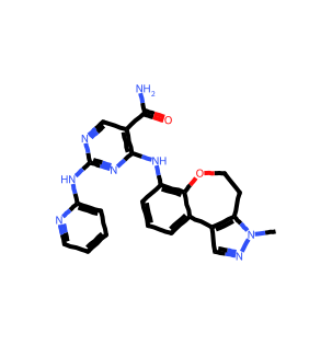 Cn1ncc2c1CCOc1c(Nc3nc(Nc4ccccn4)ncc3C(N)=O)cccc1-2